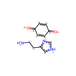 NCCc1c[nH]cn1.O=C1C=CC(=O)C=C1